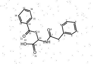 O=C(Cc1ccccc1)NC(SC(=O)c1ccccc1)C(=O)O